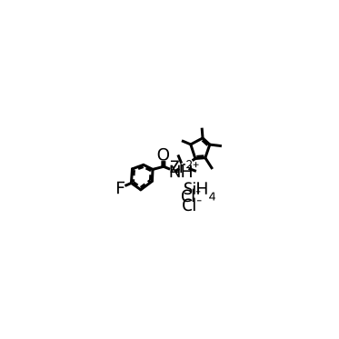 CC1=C(C)C(C)[C]([Zr+2]([CH3])([CH3])[NH]C(=O)c2ccc(F)cc2)=C1C.[Cl-].[Cl-].[SiH4]